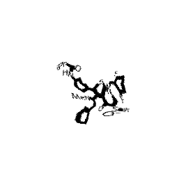 CNC(Cc1ccccc1)c1c(-c2ccc(NC(=O)C(C)C)cc2)sc2c1c(=O)c([S+]([O-])C(C)C)cn2Cc1c(F)cccc1F